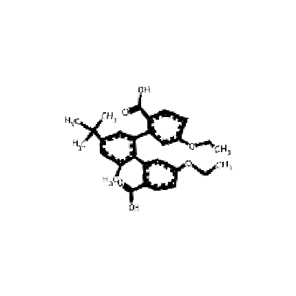 CCOc1ccc(C(=O)O)c(-c2cc(C(C)(C)C)cc(C)c2-c2cc(OCC)ccc2C(=O)O)c1